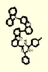 CC1C=CC(C2NC(C3=c4oc5c(-c6cccc7sc8ccc(-n9c%10ccccc%10c%10ccccc%109)cc8c67)cccc5c4=CCC3)=NC(c3ccccc3)N2)=CC1